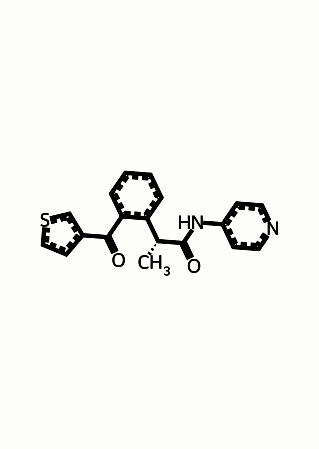 C[C@@H](C(=O)Nc1ccncc1)c1ccccc1C(=O)c1ccsc1